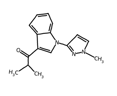 CC(C)C(=O)c1cn(-c2ccn(C)n2)c2ccccc12